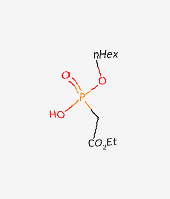 CCCCCCOP(=O)(O)CC(=O)OCC